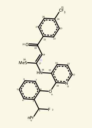 CCCC(F)c1ccccc1Oc1ncccc1N/C(=C/C(=O)c1ccc(C(F)(F)F)cc1)SC